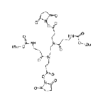 CC(C)(C)OC(=O)NCCC(=O)N(CCC(=O)ON1C(=O)CCC1=O)CCN(CCC(=O)ON1C(=O)CCC1=O)C(=O)CCNC(=O)OC(C)(C)C